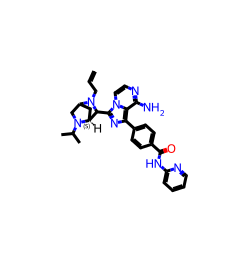 C=CCN1C2C[C@@H](C1c1nc(-c3ccc(C(=O)Nc4ccccn4)cc3)c3c(N)nccn13)N(C(C)C)C2